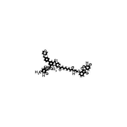 CCN(c1cc(-c2ccc(CN3CCOCC3)cc2)cc(C(=O)NCc2c(C)cc(C)[nH]c2=O)c1C)C1CCN(C(=O)CCCCCCC(=O)NCCOC2CCCC3C(=O)N(C4CCC(=O)NC4=O)C(=O)C23)CC1